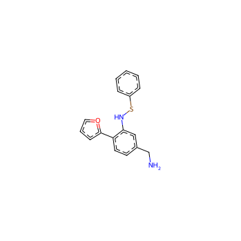 NCc1ccc(-c2ccco2)c(NSc2ccccc2)c1